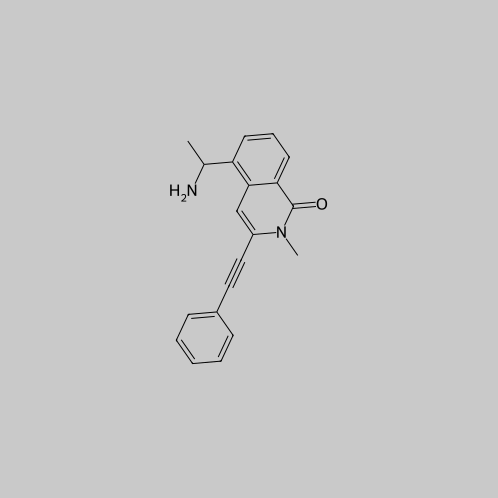 CC(N)c1cccc2c(=O)n(C)c(C#Cc3ccccc3)cc12